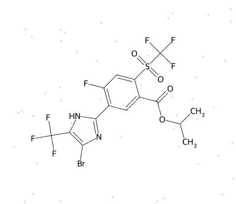 CC(C)OC(=O)c1cc(-c2nc(Br)c(C(F)(F)F)[nH]2)c(F)cc1S(=O)(=O)C(F)(F)F